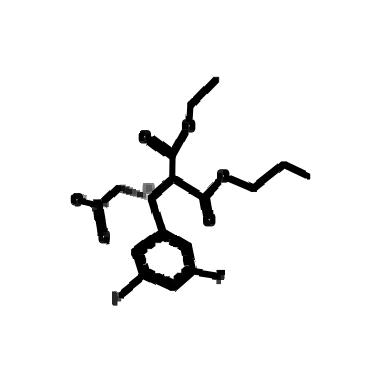 CCCOC(=O)C(C(=O)OCC)[C@@H](C[N+](=O)[O-])c1cc(F)cc(F)c1